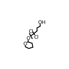 CC(C)(OC1CCCCO1)C(Cl)(Cl)CCCO